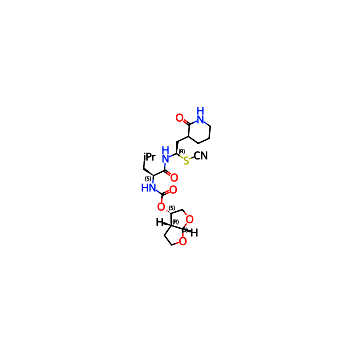 CC(C)C[C@H](NC(=O)O[C@@H]1CO[C@@H]2OCC[C@@H]21)C(=O)N[C@@H](CC1CCCNC1=O)SC#N